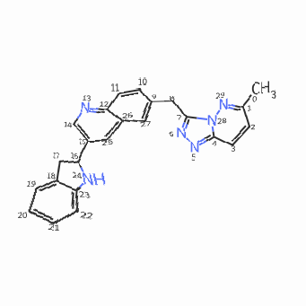 Cc1ccc2nnc(Cc3ccc4ncc(C5Cc6ccccc6N5)cc4c3)n2n1